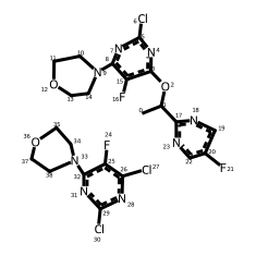 CC(Oc1nc(Cl)nc(N2CCOCC2)c1F)c1ncc(F)cn1.Fc1c(Cl)nc(Cl)nc1N1CCOCC1